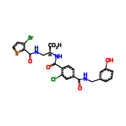 O=C(NCc1cccc(O)c1)c1ccc(C(=O)N[C@@H](CNC(=O)c2sccc2Br)C(=O)O)c(Cl)c1